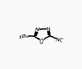 [C-]#[N+]c1nnc(C(C)(C)C)o1